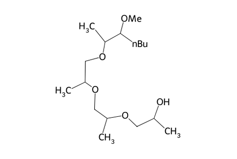 CCCCC(OC)C(C)OCC(C)OCC(C)OCC(C)O